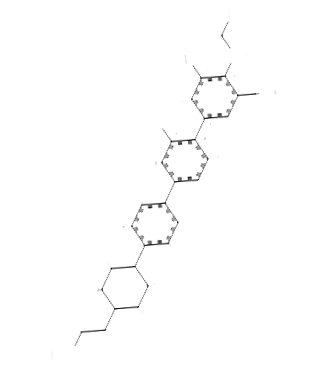 CCCC1CCC(c2ccc(-c3ccc(-c4cc(F)c(OCF)c(F)c4)c(F)c3)cc2)CC1